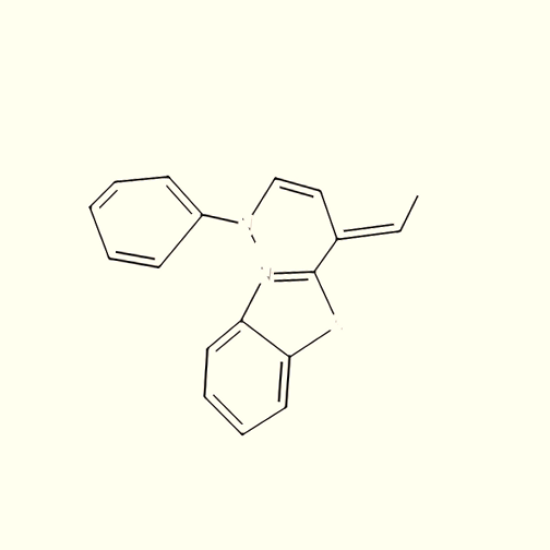 C/C=C(\C=C/N(C)c1ccccc1)c1nc2ccccc2s1